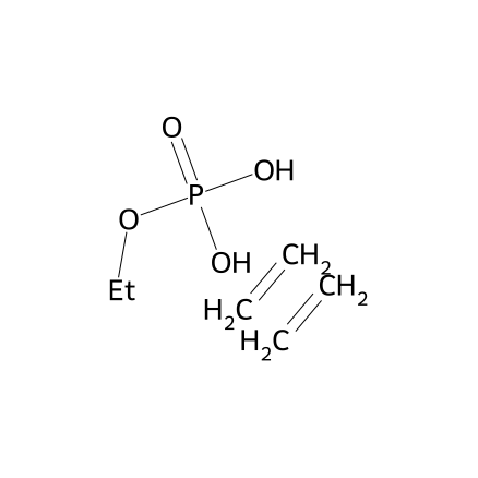 C=C.C=C.CCOP(=O)(O)O